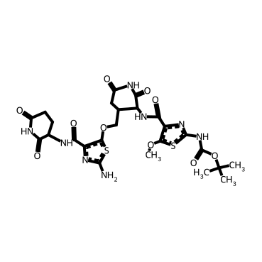 COc1sc(NC(=O)OC(C)(C)C)nc1C(=O)NC1C(=O)NC(=O)CC1COc1sc(N)nc1C(=O)NC1CCC(=O)NC1=O